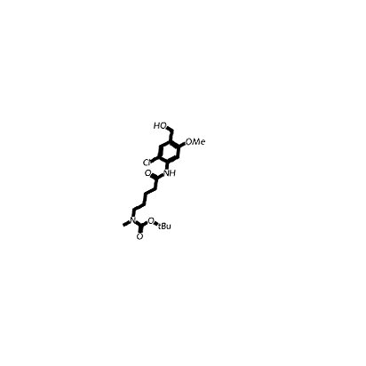 COc1cc(NC(=O)CCCCN(C)C(=O)OC(C)(C)C)c(Cl)cc1CO